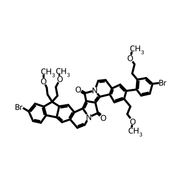 COCCc1cc(Br)ccc1-c1cc2c(cc1CCOC)C1=C3C(=O)N4C=Cc5cc6c(cc5C4=C3C(=O)N1C=C2)C(CCOC)(CCOC)c1cc(Br)ccc1-6